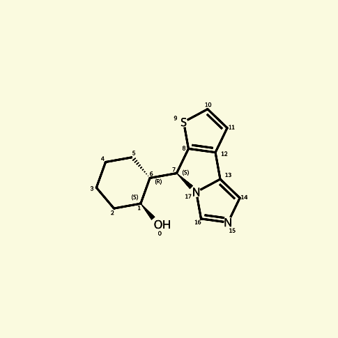 O[C@H]1CCCC[C@@H]1[C@H]1c2sccc2-c2cncn21